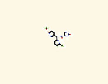 O=C1NC[C@@H](C(=O)N[C@H](c2ccc(OC(F)(F)F)nc2)c2ccc(F)c(C(F)(F)F)n2)N1